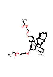 C=CC(=O)OCCOc1ccc(C2(c3ccc(OCCOC(=O)C=C)cc3)c3cc(C)ccc3-c3cc4ccccc4cc32)cc1